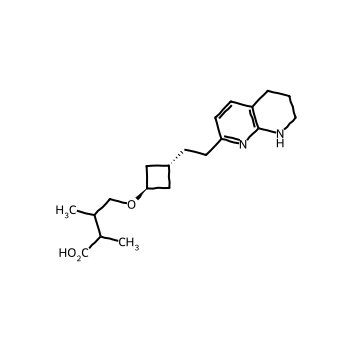 CC(CO[C@H]1C[C@H](CCc2ccc3c(n2)NCCC3)C1)C(C)C(=O)O